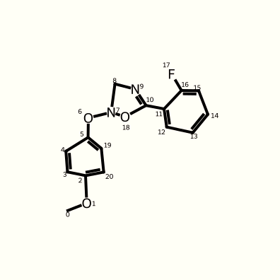 COc1ccc(ON2CN=C(c3ccccc3F)O2)cc1